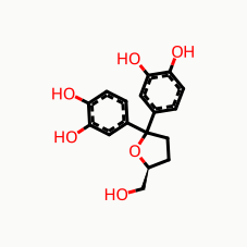 OC[C@@H]1CCC(c2ccc(O)c(O)c2)(c2ccc(O)c(O)c2)O1